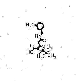 Cc1cccc(CNC(=O)Cc2nc(C(C)(C)C)sc2C(=O)O)c1